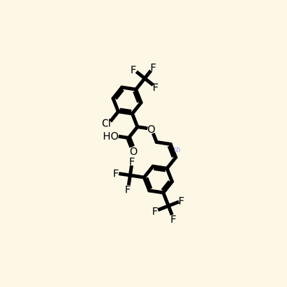 O=C(O)C(OC/C=C\c1cc(C(F)(F)F)cc(C(F)(F)F)c1)c1cc(C(F)(F)F)ccc1Cl